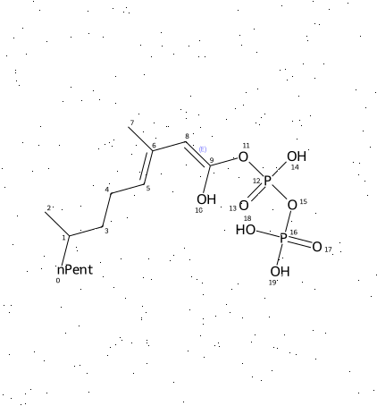 CCCCCC(C)CCC=C(C)/C=C(\O)OP(=O)(O)OP(=O)(O)O